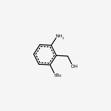 CC(C)(C)c1cccc(N)c1CO